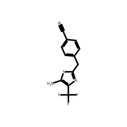 N#Cc1ccc(Cc2nc(C(F)(F)F)c(N)s2)cc1